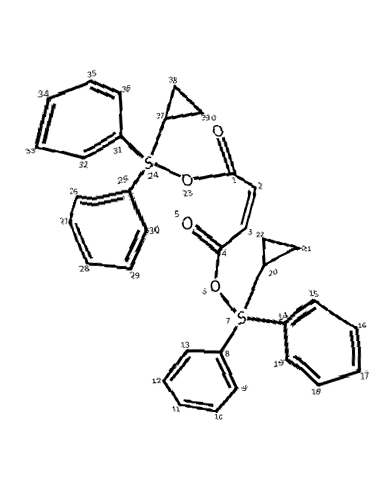 O=C(/C=C\C(=O)OS(c1ccccc1)(c1ccccc1)C1CC1)OS(c1ccccc1)(c1ccccc1)C1CC1